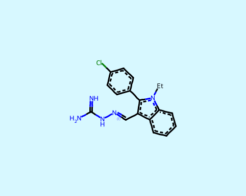 CCn1c(-c2ccc(Cl)cc2)c(/C=N/NC(=N)N)c2ccccc21